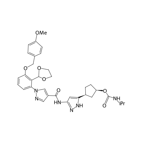 COc1ccc(COc2cccc(-n3cc(C(=O)Nc4cc([C@H]5CC[C@@H](OC(=O)NC(C)C)C5)[nH]n4)cn3)c2C2OCCO2)cc1